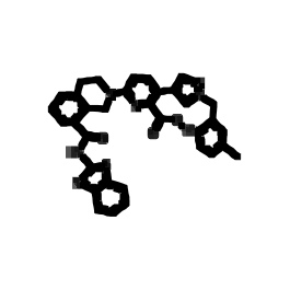 Cc1cccc(Cn2cc(-c3ccc(N4CCc5cccc(C(=O)Nc6nc7ccccc7s6)c5C4)nc3C(=O)OC(C)(C)C)cn2)c1